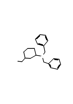 OCC1CCCC(N(Cc2ccccc2)Cc2ccccc2)C1